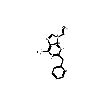 C=Cn1cnc2c(N)nc(Cc3ccccc3)nc21